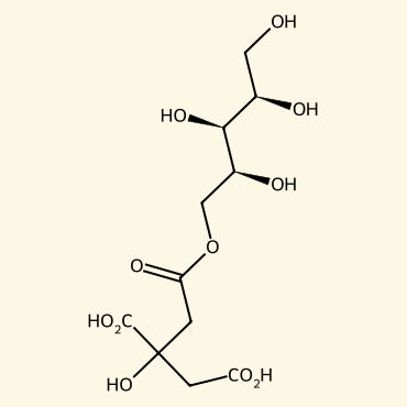 O=C(O)CC(O)(CC(=O)OC[C@H](O)[C@@H](O)[C@H](O)CO)C(=O)O